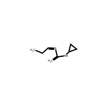 C=C(/N=C\CC)NC1CC1